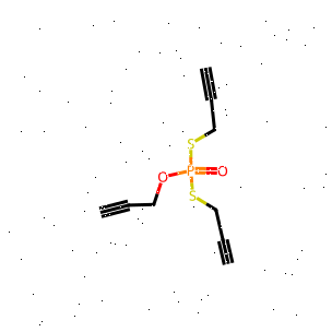 C#CCOP(=O)(SCC#C)SCC#C